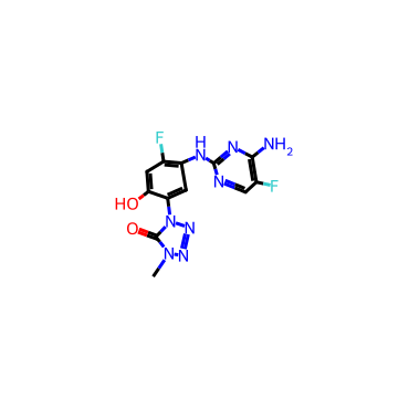 Cn1nnn(-c2cc(Nc3ncc(F)c(N)n3)c(F)cc2O)c1=O